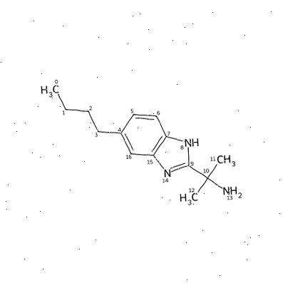 CCCCc1ccc2[nH]c(C(C)(C)N)nc2c1